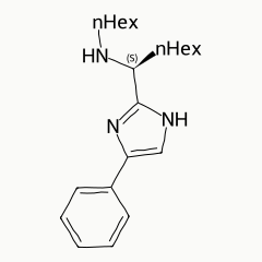 CCCCCCN[C@@H](CCCCCC)c1nc(-c2ccccc2)c[nH]1